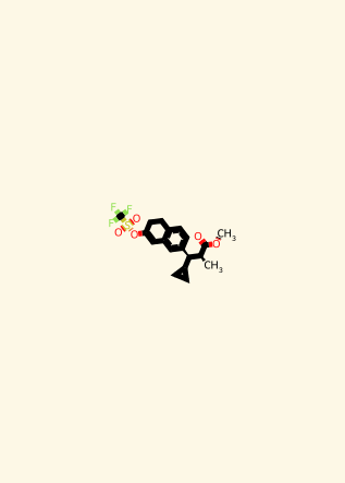 COC(=O)[C@@H](C)[C@H](c1ccc2c(c1)C=C(OS(=O)(=O)C(F)(F)F)CC2)C1CC1